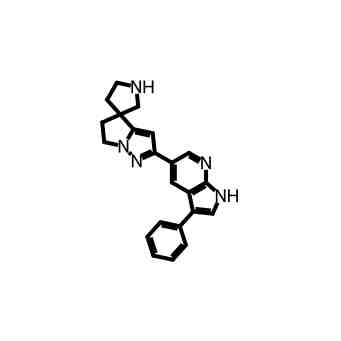 c1ccc(-c2c[nH]c3ncc(-c4cc5n(n4)CCC54CCNC4)cc23)cc1